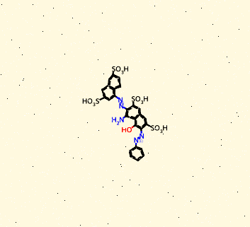 Nc1c(/N=N/c2cc(S(=O)(=O)O)cc3cc(S(=O)(=O)O)ccc23)c(S(=O)(=O)O)cc2cc(S(=O)(=O)O)c(/N=N/c3ccccc3)c(O)c12